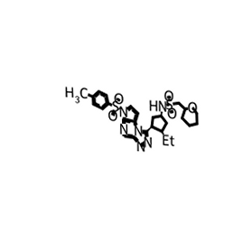 CC[C@@H]1C[C@H](NS(=O)(=O)CC2CCCCO2)C[C@@H]1c1nnc2cnc3c(ccn3S(=O)(=O)c3ccc(C)cc3)n12